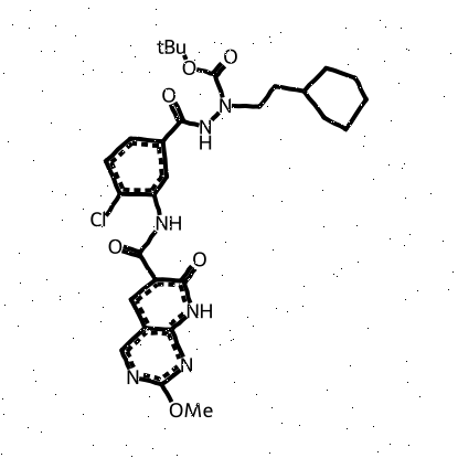 COc1ncc2cc(C(=O)Nc3cc(C(=O)NN(CCC4CCCCC4)C(=O)OC(C)(C)C)ccc3Cl)c(=O)[nH]c2n1